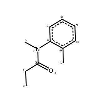 [CH2]CC(=O)N(C)c1ccccc1C